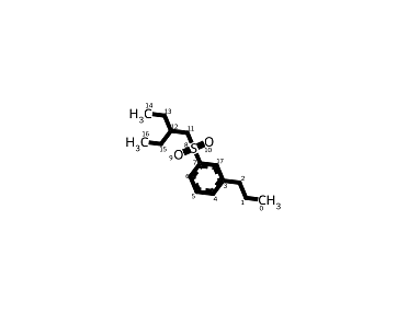 CCCc1cccc(S(=O)(=O)CC(CC)CC)c1